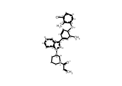 C=CC(=O)N1CCC[C@@H](n2nc(C3=CC(C)C(Oc4cccc(Cl)c4C)C=C3)c3cnccc32)C1